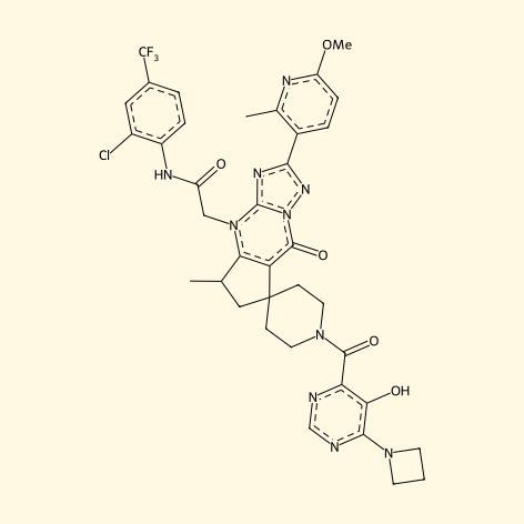 COc1ccc(-c2nc3n(CC(=O)Nc4ccc(C(F)(F)F)cc4Cl)c4c(c(=O)n3n2)C2(CCN(C(=O)c3ncnc(N5CCC5)c3O)CC2)CC4C)c(C)n1